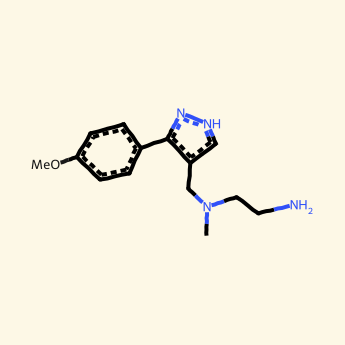 COc1ccc(-c2n[nH]cc2CN(C)CCN)cc1